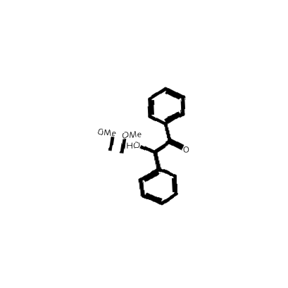 COC.COC.O=C(c1ccccc1)C(O)c1ccccc1